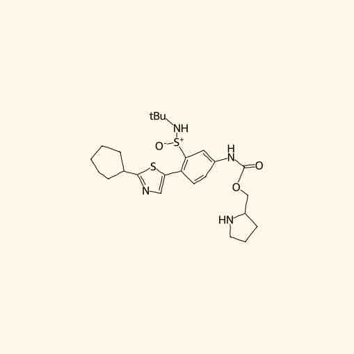 CC(C)(C)N[S+]([O-])c1cc(NC(=O)OCC2CCCN2)ccc1-c1cnc(C2CCCCC2)s1